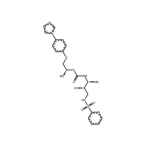 CCCC[C@H](NC(=O)O[C@H](COc1ccc(-n2ccnc2)cc1)C(C)(C)C)[C@H](O)CNS(=O)(=O)c1ccccn1